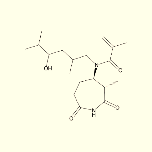 C=C(C)C(=O)N(CC(C)CC(O)C(C)C)[C@@H]1CCC(=O)NC(=O)[C@H]1C